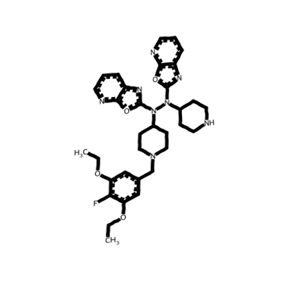 CCOc1cc(CN2CCC(N(c3nc4cccnc4o3)N(c3nc4cccnc4o3)C3CCNCC3)CC2)cc(OCC)c1F